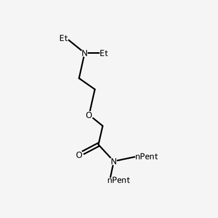 CCCCCN(CCCCC)C(=O)COCCN(CC)CC